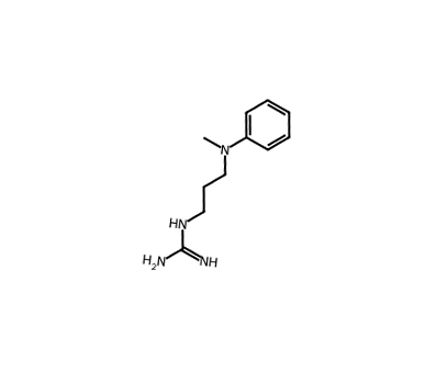 CN(CCCNC(=N)N)c1ccccc1